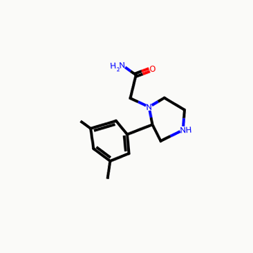 Cc1cc(C)cc(C2CNCCN2CC(N)=O)c1